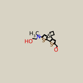 CN(CCO)c1cc2c(s1)-c1sc(C=O)cc1[Si]21CCC1